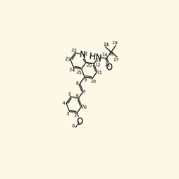 COc1cccc(C=Cc2ccc(NC(=O)C(C)(C)C)c3ncccc23)c1